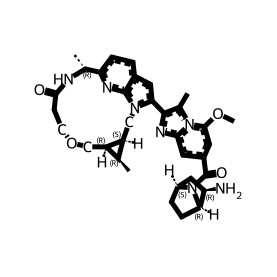 COc1cc(C(=O)N2[C@H]3CC[C@@H]2[C@H](N)C3)cc2nc(-c3cc4ccc5nc4n3C[C@H]3[C@@H](C)[C@H]3COCCC(=O)N[C@@H]5C)c(C)n12